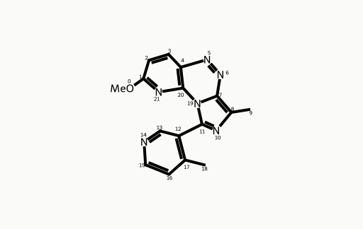 COc1ccc2nnc3c(C)nc(-c4cnccc4C)n3c2n1